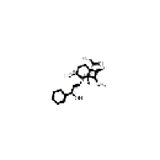 CC1C(=O)[C@]2(C(C)C)CC[C@H](O)[C@@H](/C=C/[C@@H](O)C3CCCCC3)[C@@H]12